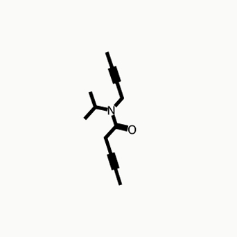 CC#CCC(=O)N(CC#CC)C(C)C